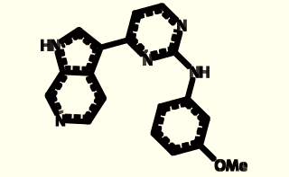 COc1cccc(Nc2nccc(-c3c[nH]c4cnccc34)n2)c1